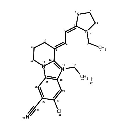 CCN1CCSC1=CC=C1CCCn2c1[n+](CC)c1cc(Cl)c(C#N)cc12.[I-]